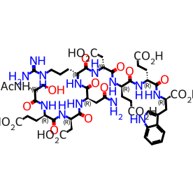 CC(=O)N[C@H](CO)C(=O)N[C@H](CCC(=O)O)C(=O)N[C@H](CC(=O)O)C(=O)N[C@H](CC(N)=O)C(=O)N[C@H](CCCNC(=N)N)C(=O)N[C@H](CC(=O)O)C(=O)N[C@H](CCC(=O)O)C(=O)N[C@H](CCC(=O)O)C(=O)N[C@H](Cc1c[nH]c2ccccc12)C(=O)O